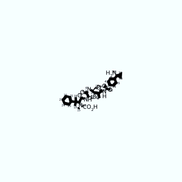 CC(=C[C@H](C(C)C)N(C)C(=O)[C@@H](NC(=O)[C@@H](N(C)C(=O)O)C(C)(C)c1ccccc1)C(C)(C)C)C(=O)NS(=O)(=O)c1ccc(C2(N)CC2)cc1